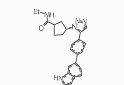 CCNC(=O)C1CCC(n2nncc2-c2ccc(-c3ccc4cc[nH]c4c3)cc2)C1